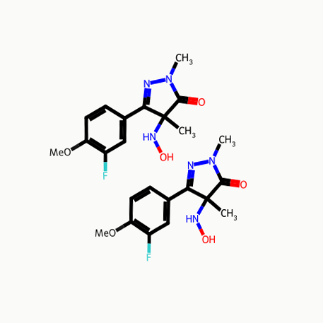 COc1ccc(C2=NN(C)C(=O)C2(C)NO)cc1F.COc1ccc(C2=NN(C)C(=O)C2(C)NO)cc1F